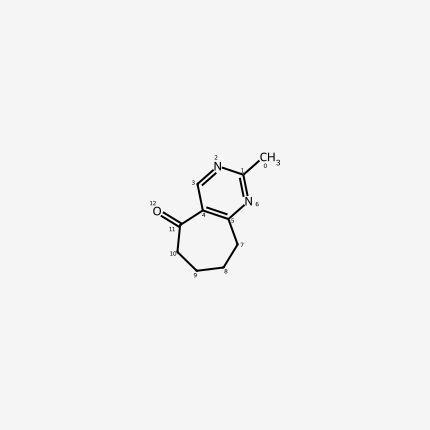 Cc1ncc2c(n1)CCCCC2=O